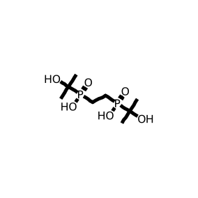 CC(C)(O)P(=O)(O)CCP(=O)(O)C(C)(C)O